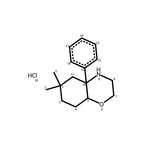 CC1(C)CCC2OCCNC2(c2ccccc2)C1.Cl